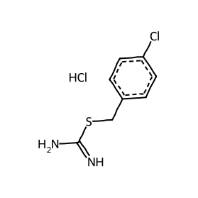 Cl.N=C(N)SCc1ccc(Cl)cc1